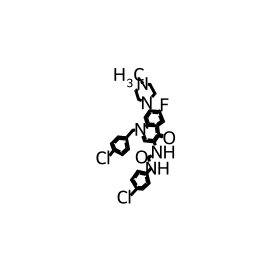 CN1CCN(c2cc3c(cc2F)c(=O)c(NC(=O)Nc2ccc(Cl)cc2)cn3Cc2ccc(Cl)cc2)CC1